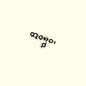 CN(C)C1CCN(C(=O)[C@@H](Cc2cc(Cl)c(N)c(C(F)(F)F)c2)NC(=O)N2CCC(N3CCc4ccccc4NC3=O)CC2)CC1